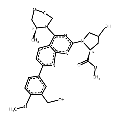 COC(=O)[C@@H]1CC(O)CN1c1nc(N2CCOC[C@@H]2C)c2ccc(-c3ccc(OC)c(CO)c3)nc2n1